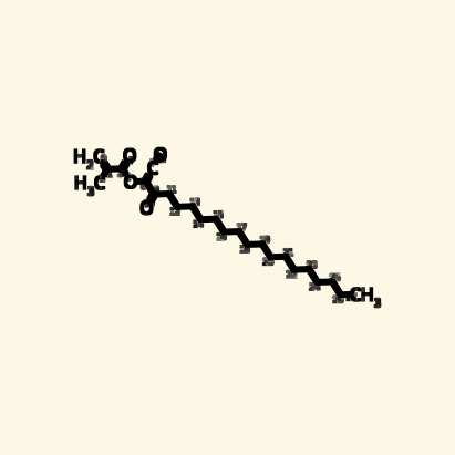 C=C(C)C(=O)OC(=C=O)C(=O)CCCCCCCCCCCCCCCCC